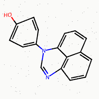 Oc1ccc(N2C=Nc3cccc4cccc2c34)cc1